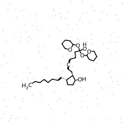 CCCCCCC=C[C@H]1CC[C@H](O)[C@@H]1CC=C=CCCC(O)(OC1CCCCO1)OC1CCCCO1